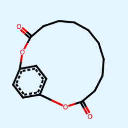 O=C1CCCCCCCCC(=O)Oc2ccc(cc2)O1